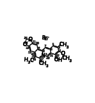 COc1c(C)cc2cc3c4cc5c(cc4c(C)c(C)[n+]3cc2c1O)OCO5.[Br-]